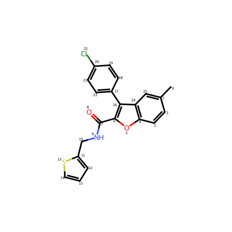 Cc1ccc2oc(C(=O)NCc3cccs3)c(-c3ccc(Cl)cc3)c2c1